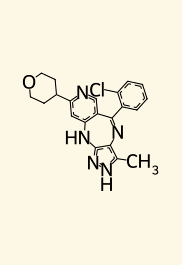 Cc1[nH]nc2c1N=C(c1ccccc1Cl)c1cnc(C3CCOCC3)cc1N2